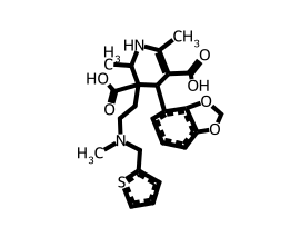 CC1=C(C(=O)O)C(c2cccc3c2OCO3)C(CCN(C)Cc2cccs2)(C(=O)O)C(C)N1